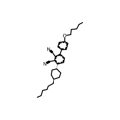 CCCCCC[C@H]1CC[C@H](c2ccc(-c3ccc(OCCCCC)cc3)c(C#N)c2C#N)CC1